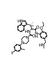 CCOc1ccc(CNC)cc1NC(=O)[C@H](NC(=O)N1CCN(c2ccc(F)cc2C)CC1)[C@@H](C)c1c[nH]c2ccccc12